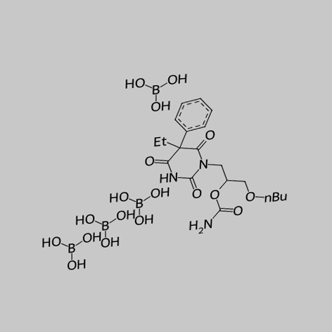 CCCCOCC(CN1C(=O)NC(=O)C(CC)(c2ccccc2)C1=O)OC(N)=O.OB(O)O.OB(O)O.OB(O)O.OB(O)O